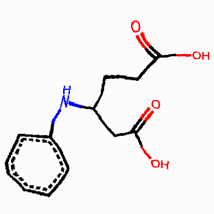 O=C(O)CCC(CC(=O)O)Nc1ccccc1